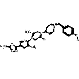 CC[C@H]1CN(c2ncc(-c3nnc(N)o3)cc2C)[C@H](C)CN1C1CCN(Cc2ccc(OC(F)(F)F)cc2)CC1